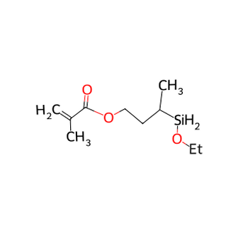 C=C(C)C(=O)OCCC(C)[SiH2]OCC